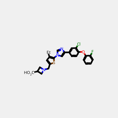 CCc1cc(CN2CC(C(=O)O)C2)sc1-n1cnc(-c2ccc(Oc3ccccc3F)c(Cl)c2)c1